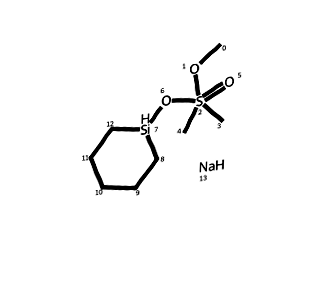 COS(C)(C)(=O)O[SiH]1CCCCC1.[NaH]